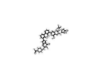 COc1nc(-c2cccc(-c3cccc(-c4cc5c(=O)n(C)c(CN6CCN(C(C)=O)CC6)nn5c4)c3Cl)c2Cl)ccc1CN(C[C@@H]1CCC(=O)N1)C(=O)OC(C)(C)C